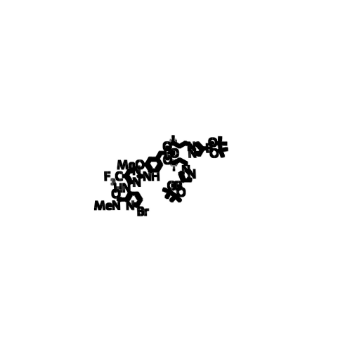 CNC(=O)c1nc(Br)ccc1Nc1nc(Nc2ccc(CP(=O)(O[C@@H](C)CCn3cc(B4OC(C)(C)C(C)(C)O4)cn3)O[C@@H](C)CCn3cc(B4OC(C)(C)C(C)(C)O4)cn3)cc2OC)ncc1C(F)(F)F